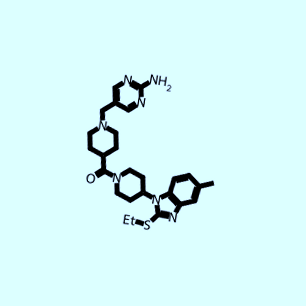 CCSc1nc2cc(C)ccc2n1C1CCN(C(=O)C2CCN(Cc3cnc(N)nc3)CC2)CC1